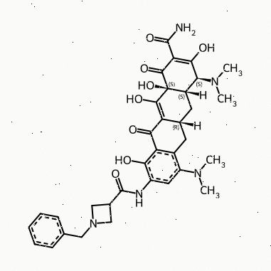 CN(C)c1cc(NC(=O)C2CN(Cc3ccccc3)C2)c(O)c2c1C[C@H]1C[C@H]3[C@H](N(C)C)C(O)=C(C(N)=O)C(=O)[C@@]3(O)C(O)=C1C2=O